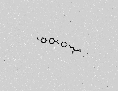 CCc1ccc([C@H]2CC[C@H](OC[C@H]3CC[C@H](CCC=C(F)C#N)CC3)CC2)cc1